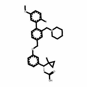 COc1ccc(F)c(-c2ccc(COc3cccc([C@@H](CC(=O)O)C4(C)CC4)c3)cc2CN2CCCCC2)c1